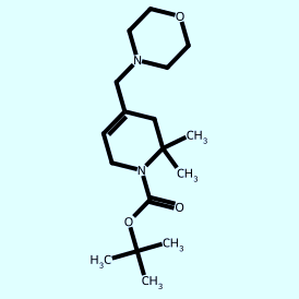 CC(C)(C)OC(=O)N1CC=C(CN2CCOCC2)CC1(C)C